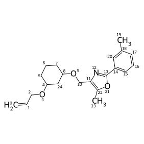 C=CCOC1CCCC(OCc2nc(-c3cccc(C)c3)oc2C)C1